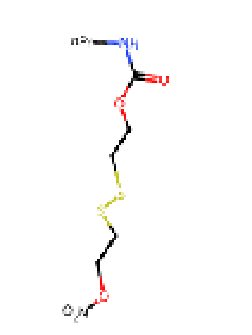 CCCNC(=O)OCCSSCCO[N+](=O)[O-]